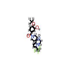 COc1cc(C(=O)N2CCC3(CC2)c2ccc(C(F)(F)F)n2CCN3C)ccc1OC(C)(C)C